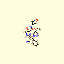 Cc1cnn([C@@H](c2ccccc2C#N)[C@H](C)c2nc(C(=O)Nc3cnoc3)c(O)c(=O)n2C)c1